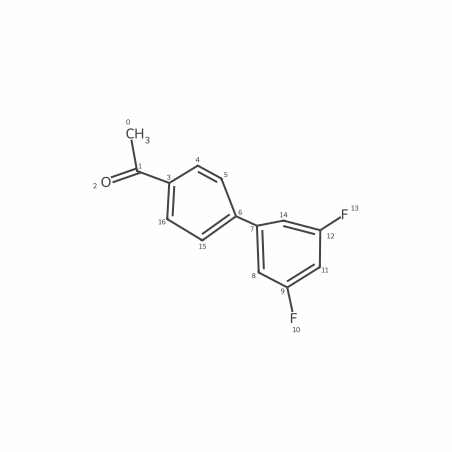 CC(=O)c1ccc(-c2cc(F)cc(F)c2)cc1